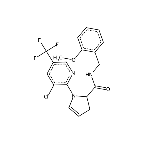 COc1ccccc1CNC(=O)C1CC=CN1c1ncc(C(F)(F)F)cc1Cl